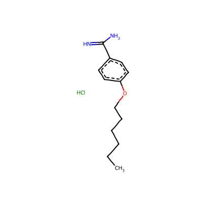 CCCCCCOc1ccc(C(=N)N)cc1.Cl